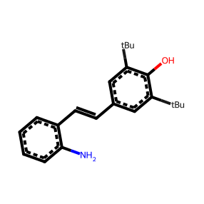 CC(C)(C)c1cc(C=Cc2ccccc2N)cc(C(C)(C)C)c1O